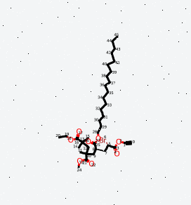 C#COC(=O)[C@@H](Br)C[C@@H](CC(C)(CC(C)(C)C(=O)OCC)C(=O)OC)C(=O)OCCCCCCCCCCCCCCCCCC